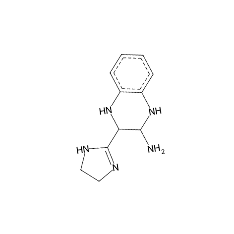 NC1Nc2ccccc2NC1C1=NCCN1